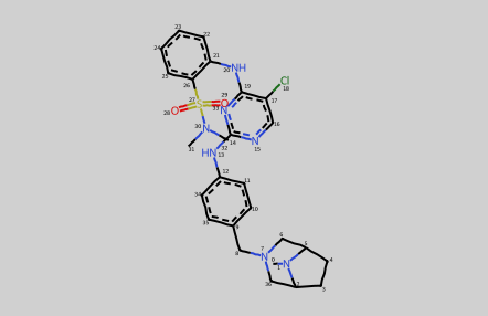 CN1C2CCC1CN(Cc1ccc(Nc3ncc(Cl)c(Nc4ccccc4S(=O)(=O)N(C)C)n3)cc1)C2